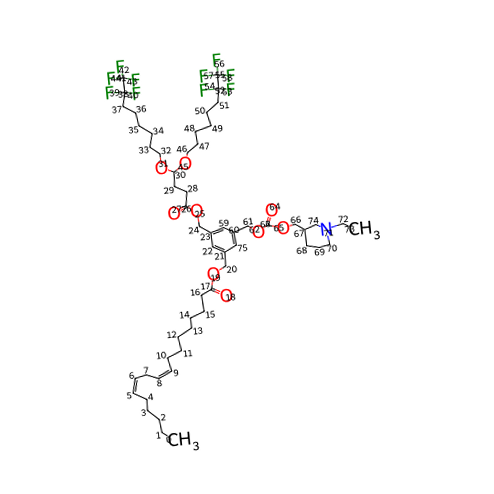 CCCCC/C=C\C/C=C\CCCCCCCC(=O)OCc1cc(COC(=O)CCC(OCCCCCCC(F)(F)C(F)(F)F)OCCCCCCC(F)(F)C(F)(F)F)cc(COC(=O)OCC2CCCN(CC)C2)c1